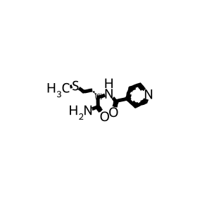 CSCC[C@H](NC(=O)c1ccncc1)C(N)=O